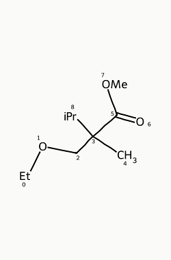 CCOCC(C)(C(=O)OC)C(C)C